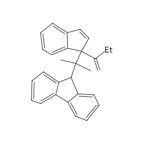 C=C(CC)C1(C(C)(C)C2c3ccccc3-c3ccccc32)C=Cc2ccccc21